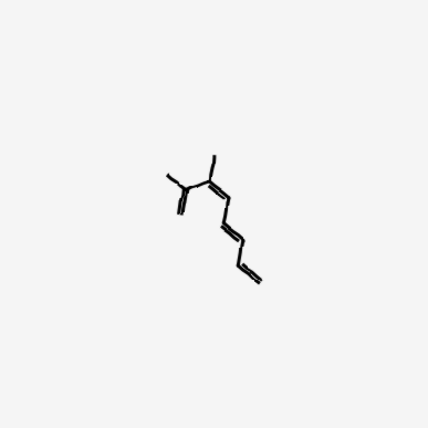 C=CC=CC=C(C)C(=C)C